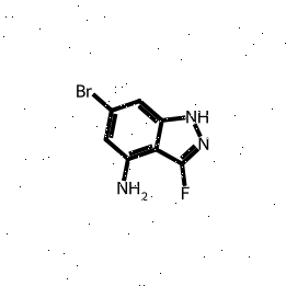 Nc1cc(Br)cc2[nH]nc(F)c12